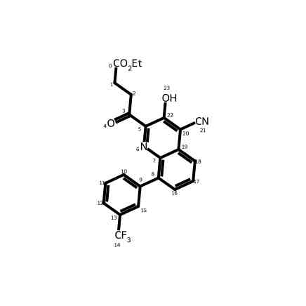 CCOC(=O)CCC(=O)c1nc2c(-c3cccc(C(F)(F)F)c3)cccc2c(C#N)c1O